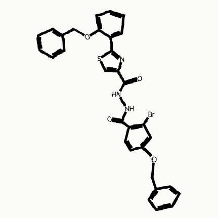 O=C(NNC(=O)c1ccc(OCc2ccccc2)cc1Br)c1csc(-c2ccccc2OCc2ccccc2)n1